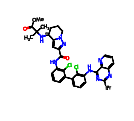 COC(=O)C(C)(C)N[C@H]1CCCn2nc(C(=O)Nc3cccc(-c4cccc(Nc5nc(C(C)C)nc6cccnc56)c4Cl)c3Cl)cc21